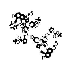 C#Cc1c(F)ccc2cc(OCOC)cc(Oc3nc4nc(OC[C@@H]5CCCN5C(=O)OC(C)(C)C)nc(N5CCC[C@@](C)(O)C5)c4n3C3CCC3)c12.COCOc1cc(Oc2nc3nc(OC[C@H]4CCCN4C(=O)OC(C)(C)C)nc(N4CCC[C@](C)(O[Si](C)(C)C(C)(C)C)C4)c3n2C2CCC2)c2c(C#C[Si](C(C)C)(C(C)C)C(C)C)c(F)ccc2c1